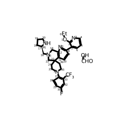 CCOc1ncccc1-c1ccc2c(n1)CN(C[C@H]1CCCN1)CC21CCN(c2ccc(F)cc2C(F)(F)F)CC1.O=CO